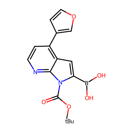 CC(C)(C)OC(=O)n1c(B(O)O)cc2c(-c3ccoc3)ccnc21